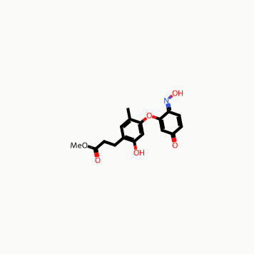 COC(=O)CCc1cc(C)c(OC2=CC(=O)C=C/C2=N\O)cc1O